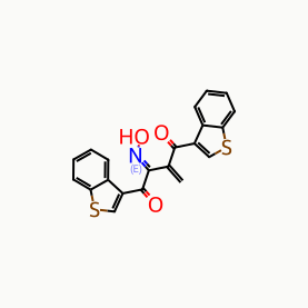 C=C(C(=O)c1csc2ccccc12)/C(=N\O)C(=O)c1csc2ccccc12